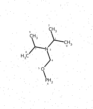 CC(C)N(COP)C(C)C